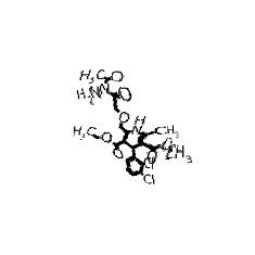 CCOC(=O)C1=C(COCC(=O)N(N)C(C)=O)NC(C)=C(C(=O)OC)C1c1cccc(Cl)c1Cl